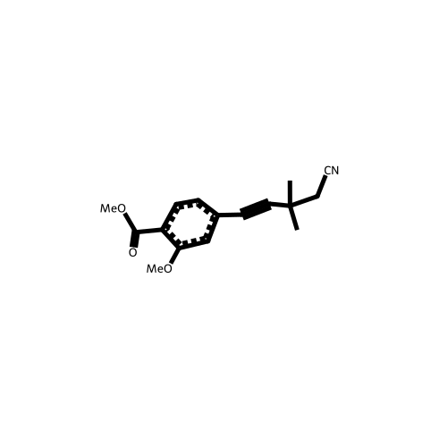 COC(=O)c1ccc(C#CC(C)(C)CC#N)cc1OC